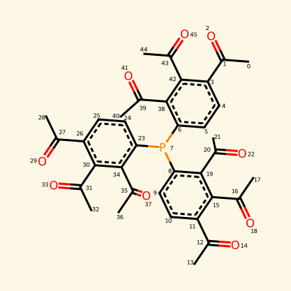 CC(=O)c1ccc(P(c2ccc(C(C)=O)c(C(C)=O)c2C(C)=O)c2ccc(C(C)=O)c(C(C)=O)c2C(C)=O)c(C(C)=O)c1C(C)=O